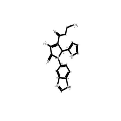 CCCC(=O)C1=C(O)C(=O)N(c2ccc3[nH]cnc3c2)C1c1ccc[nH]1